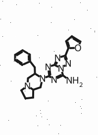 Nc1nc(N2CC3CCCN3CC2Cc2ccccc2)nc2nc(-c3ccco3)nn12